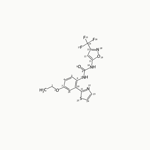 CCOc1ccc(NC(=O)Nc2cc(C(F)(F)F)no2)c(-c2nccs2)c1